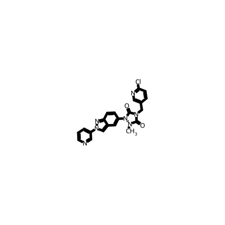 Cn1c(=O)n(Cc2ccc(Cl)nc2)c(=O)n1-c1ccc2nn(-c3cccnc3)cc2c1